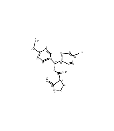 CC(C)Oc1ncc([C@@H](CC(=O)N2CCOC2=O)c2ccc(F)cc2)cn1